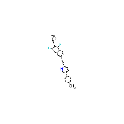 Cc1ccc(-c2ccc(C#Cc3ccc4c(F)c(C#CC(F)(F)F)c(F)cc4c3)nc2)cc1